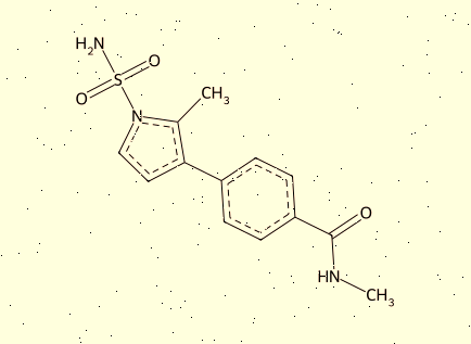 CNC(=O)c1ccc(-c2ccn(S(N)(=O)=O)c2C)cc1